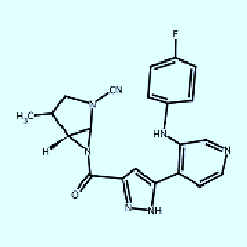 CC1CN(C#N)C2[C@@H]1N2C(=O)c1cc(-c2ccncc2Nc2ccc(F)cc2)[nH]n1